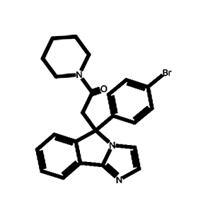 O=C(CC1(c2ccc(Br)cc2)c2ccccc2-c2nccn21)N1CCCCC1